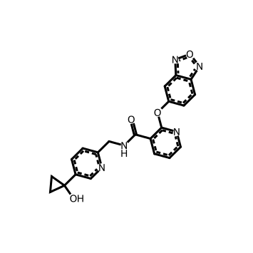 O=C(NCc1ccc(C2(O)CC2)cn1)c1cccnc1Oc1ccc2nonc2c1